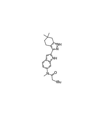 CN(C(=O)CC(C)(C)C)c1ccc2cc(-c3n[nH]c4c3CCC(C)(C)C4)[nH]c2c1